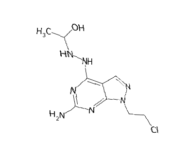 CC(O)NNc1nc(N)nc2c1cnn2CCCl